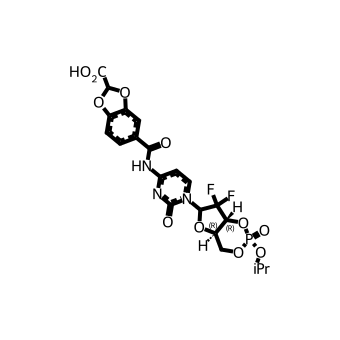 CC(C)OP1(=O)OC[C@H]2OC(n3ccc(NC(=O)c4ccc5c(c4)OC(C(=O)O)O5)nc3=O)C(F)(F)[C@@H]2O1